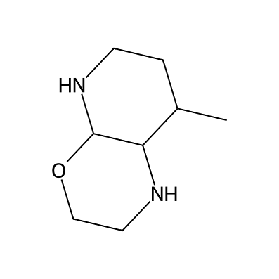 CC1CCNC2OCCNC12